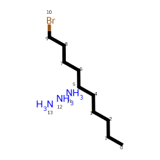 CCCCCCCCCCBr.N.N.N